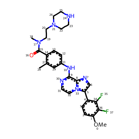 COc1ccc(-c2cnc3c(Nc4ccc(C(=O)N(C)CCN5CCNCC5)c(C)c4)nccn23)c(F)c1F